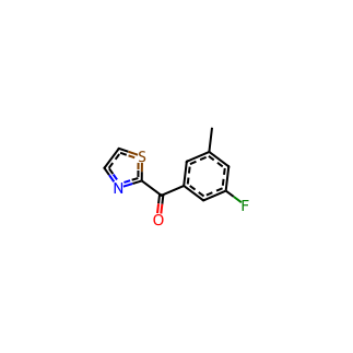 Cc1cc(F)cc(C(=O)c2nccs2)c1